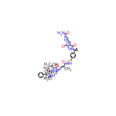 CNC(C(=O)NC(C(=O)N(C)C/C=C(\C)C(=O)NSCc1ccc(C2(NC(=O)C(CCCNC(N)=O)NC=O)CC2)cc1)C(C)(C)C)C(C)(C)c1ccccc1